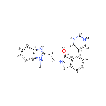 Cn1c(CCN2Cc3cccc(-c4cncnc4)c3C2=O)nc2ccccc21